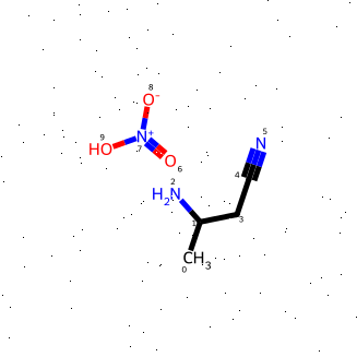 CC(N)CC#N.O=[N+]([O-])O